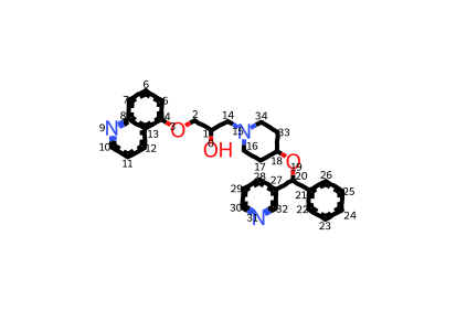 OC(COc1cccc2ncccc12)CN1CCC(OC(c2ccccc2)c2cccnc2)CC1